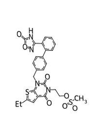 CCc1cc2c(=O)n(CCOS(C)(=O)=O)c(=O)n(Cc3ccc(-c4ccccc4-c4noc(=O)[nH]4)cc3)c2s1